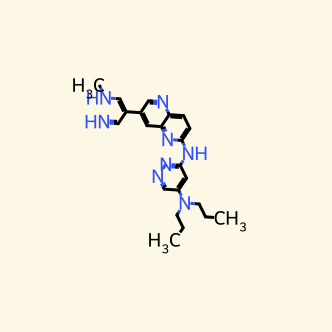 CCCN(CCC)c1cnnc(Nc2ccc3ncc(/C(C=N)=C/NC)cc3n2)c1